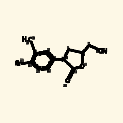 Cc1cc(N2CC(CO)OC2=O)ccc1Br